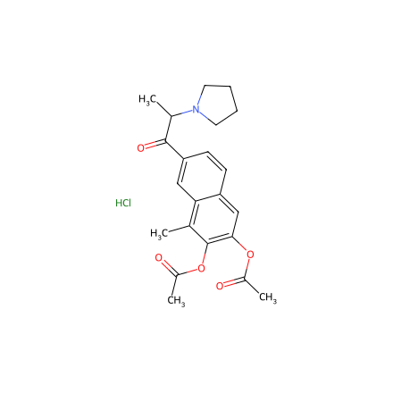 CC(=O)Oc1cc2ccc(C(=O)C(C)N3CCCC3)cc2c(C)c1OC(C)=O.Cl